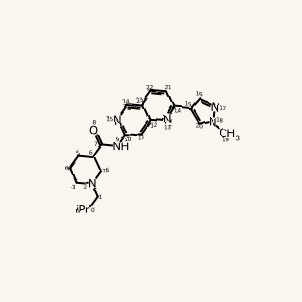 CC(C)CN1CCCC(C(=O)Nc2cc3nc(-c4cnn(C)c4)ccc3cn2)C1